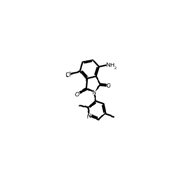 Cc1cnc(C)c(N2C(=O)c3c(N)ccc(Cl)c3C2=O)c1